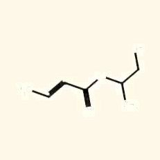 CC=CC(=O)OC(C)CC(C)C